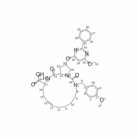 COc1ccc(CN2CCCCCC=CCCC(C(=O)O)NC(=O)C3CC(Oc4cc(OC)nc(-c5ccccc5)n4)C[N+]3C2=O)cc1